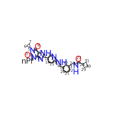 CCCn1c(=O)n(C2CC2)c(=O)c2[nH]c(-c3ccc(NCc4cccc(CNC(=O)C5CCC5)c4)nc3)nc21